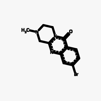 CN1CCn2c(nc3cc(Br)ccc3c2=O)C1